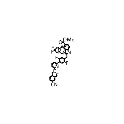 COC(=O)c1ccc2nc(Cc3cc(F)c(-c4cccc(OCc5ccc(C#N)cc5F)n4)cc3F)n(C[C@H]3CC(F)(F)CN3C(C)=O)c2c1